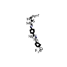 CCCCCNC(=S)N/N=C/c1ccc(C(=N)/N=C\Nc2ccc(OC(F)(F)F)cc2)cc1